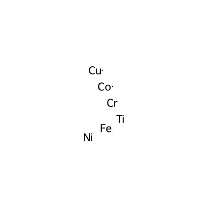 [Co].[Cr].[Cu].[Fe].[Ni].[Ti]